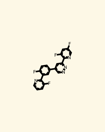 Fc1cnc(-c2cc(-c3ccc(F)c(-c4ncccc4F)c3)cnn2)c(F)c1